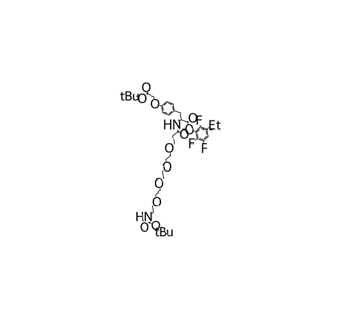 CCc1cc(F)c(F)c(OC(=O)C(Cc2ccc(OCC(=O)OC(C)(C)C)cc2)NC(=O)CCOCCOCCOCCOCCNC(=O)OC(C)(C)C)c1F